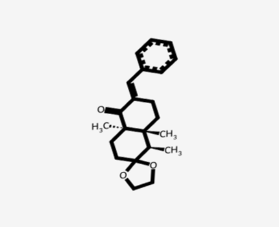 C[C@H]1C2(CC[C@@]3(C)C(=O)/C(=C/c4ccccc4)CC[C@]13C)OCCO2